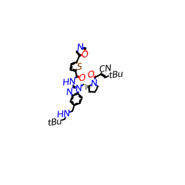 CC(C)(C)C=C(C#N)C(=O)N1CCC[C@@H]1Cn1c(NC(=O)c2ccc(-c3cnco3)s2)nc2cc(CNCC(C)(C)C)ccc21